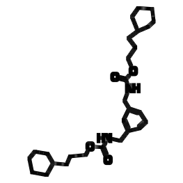 O=C(NCc1cccc(CNC(=O)OCCCC2CCCCC2)c1)OCCCC1CCCCC1